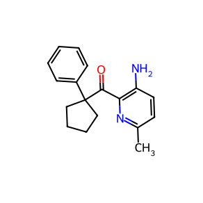 Cc1ccc(N)c(C(=O)C2(c3ccccc3)CCCC2)n1